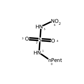 CCCCCNS(=O)(=O)N[N+](=O)[O-]